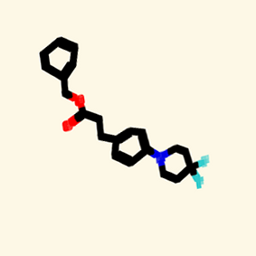 O=C(CCc1ccc(N2CCC(F)(F)CC2)cc1)OCc1ccccc1